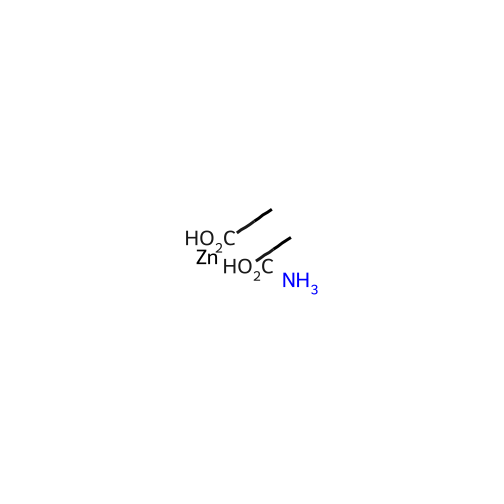 CC(=O)O.CC(=O)O.N.[Zn]